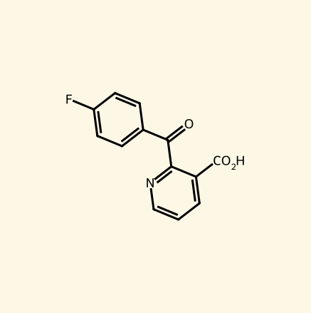 O=C(O)c1cccnc1C(=O)c1ccc(F)cc1